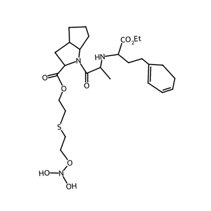 CCOC(=O)C(CCC1=CC=CCC1)NC(C)C(=O)N1C(C(=O)OCCSCCON(O)O)CC2CCCC21